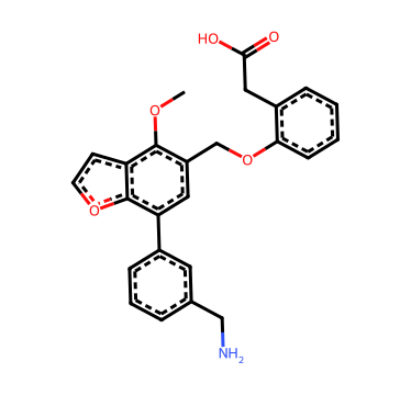 COc1c(COc2ccccc2CC(=O)O)cc(-c2cccc(CN)c2)c2occc12